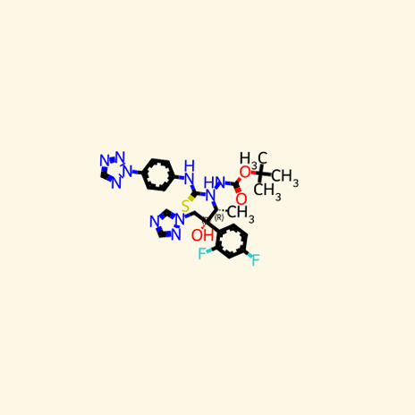 C[C@@H](N(NC(=O)OC(C)(C)C)C(=S)Nc1ccc(-n2ncnn2)cc1)[C@](O)(Cn1cncn1)c1ccc(F)cc1F